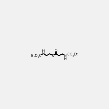 [CH2]COC(=O)NCCSC(=O)CCNC(=O)OC[CH2]